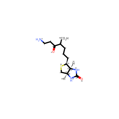 NCCC(=O)C(CCC[C@@H]1SC[C@@H]2NC(=O)N[C@@H]21)C(=O)O